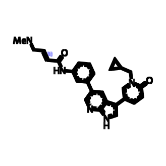 CNC/C=C/C(=O)Nc1cccc(-c2cnc3[nH]cc(-c4ccc(=O)n(CC5CC5)c4)c3c2)c1